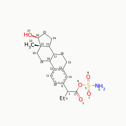 CCC(C(=O)OS(N)(=O)=O)c1ccc2c(c1)CCC1C2CC[C@@]2(C)C1CC[C@@H]2O